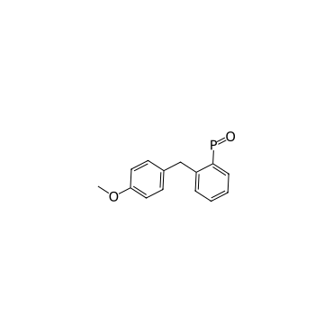 COc1ccc(Cc2ccccc2P=O)cc1